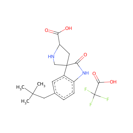 CC(C)(C)Cc1ccc2c(c1)C1(CNC(C(=O)O)C1)C(=O)N2.O=C(O)C(F)(F)F